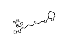 CCO[Si](CCCSCCOC1CCCCO1)(OCC)OCC